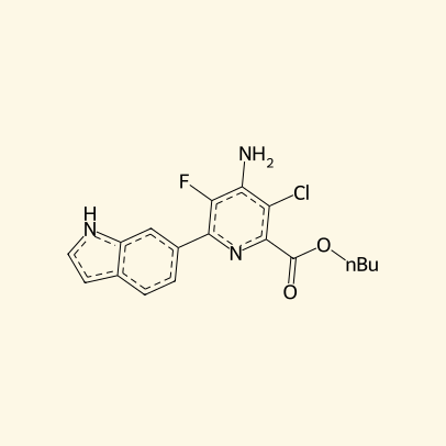 CCCCOC(=O)c1nc(-c2ccc3cc[nH]c3c2)c(F)c(N)c1Cl